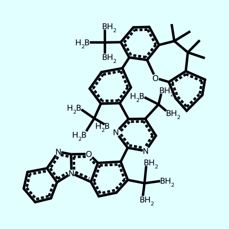 BC(B)(B)c1ccc(-c2c(C(B)(B)B)ccc3c2Oc2ccccc2C(C)(C)C3(C)C)cc1-c1nc(-c2c(C(B)(B)B)ccc3c2oc2nc4ccccc4n23)ncc1C(B)(B)B